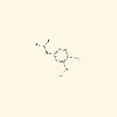 COc1cc(OC(F)F)ccc1N